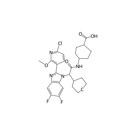 COc1nc(Cl)ccc1-c1nc2cc(F)c(F)cc2n1C(C(=O)NC1CCC(C(=O)O)CC1)C1CCCCC1